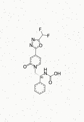 O=C(O)N[C@@H](Cn1ccc(-c2nnc(C(F)F)o2)cc1=O)c1ccccc1